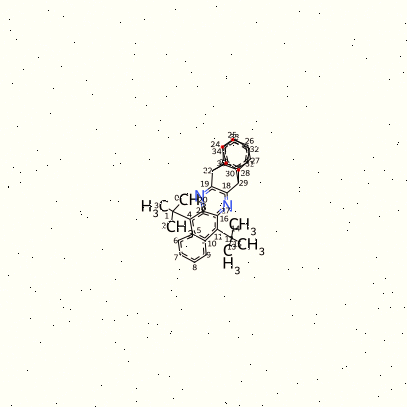 CC(C)(C)c1c2ccccc2c(C(C)(C)C)c2nc3c(nc12)C1c2ccccc2C3c2ccccc21